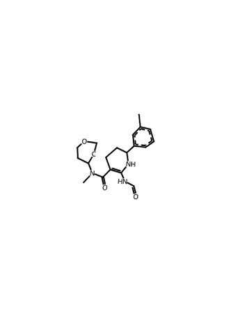 Cc1cccc(C2CCC(C(=O)N(C)C3CCOCC3)=C(NC=O)N2)c1